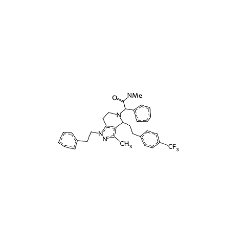 CNC(=O)C(c1ccccc1)N1CCc2c(c(C)nn2CCc2ccccc2)C1CCc1ccc(C(F)(F)F)cc1